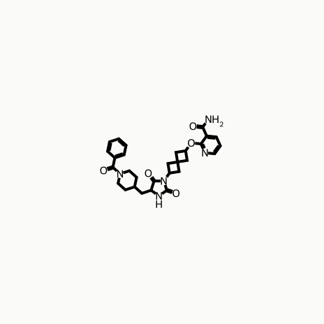 NC(=O)c1cccnc1OC1CC2(C1)CC(N1C(=O)NC(CC3CCN(C(=O)c4ccccc4)CC3)C1=O)C2